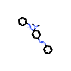 CN(C)C1(/N=N/c2ccccc2)C=CC(/N=N/c2ccccc2)C=C1